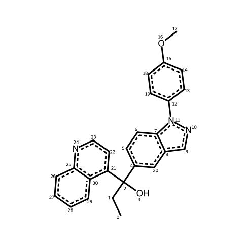 CCC(O)(c1ccc2c(cnn2-c2ccc(OC)cc2)c1)c1ccnc2ccccc12